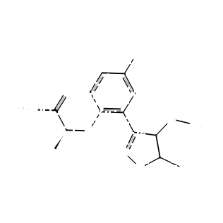 CCCCOC1C(c2cc(Br)ccc2O[C@@H](C)C(=O)OC)=NOC1C